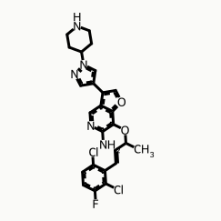 CC(C=Cc1c(Cl)ccc(F)c1Cl)Oc1c(N)ncc2c(-c3cnn(C4CCNCC4)c3)coc12